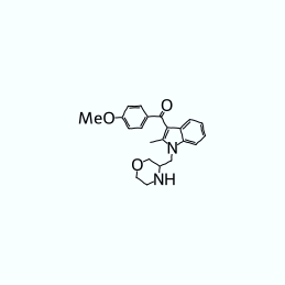 COc1ccc(C(=O)c2c(C)n(CC3COCCN3)c3ccccc23)cc1